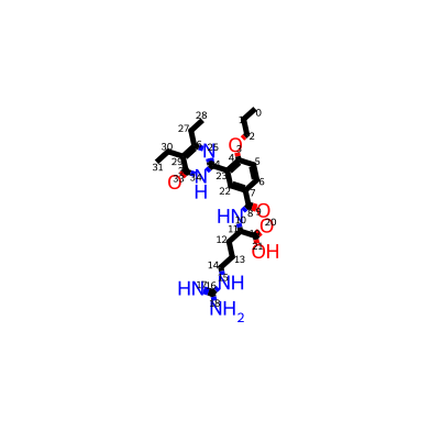 CCCOc1ccc(C(=O)NC(CCCNC(=N)N)C(=O)O)cc1-c1nc(CC)c(CC)c(=O)[nH]1